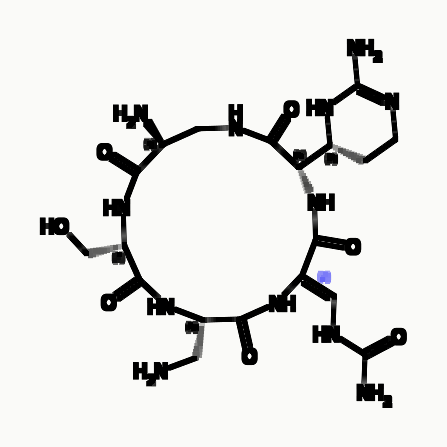 NC[C@@H]1NC(=O)[C@H](CO)NC(=O)[C@@H](N)CNC(=O)[C@H]([C@H]2CCN=C(N)N2)NC(=O)/C(=C/NC(N)=O)NC1=O